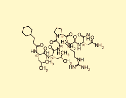 CC(C)C[C@H](NC(=O)CCC1CCCCC1)C(=O)N[C@@H](CC(C)C)C(=O)N[C@@H](CN)C(=O)N1CCC[C@H]1C(=O)N[C@@H](CCCNC(=N)N)C(=O)N[C@@H](CC(N)=O)C(N)=O